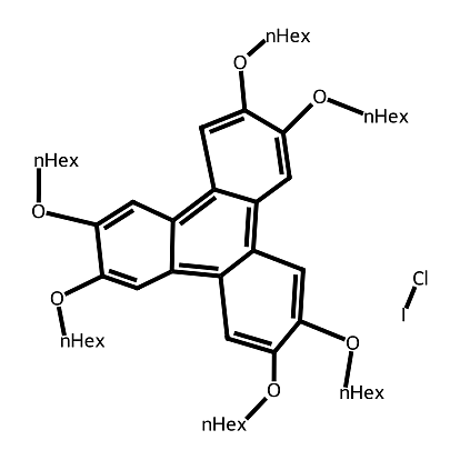 CCCCCCOc1cc2c3cc(OCCCCCC)c(OCCCCCC)cc3c3cc(OCCCCCC)c(OCCCCCC)cc3c2cc1OCCCCCC.ClI